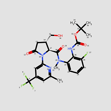 Cc1cc(C(F)(F)F)cc(N2C(=O)C[C@H](CO)[C@H]2C(=O)N(C)c2cccc(F)c2NC(=O)OC(C)(C)C)n1